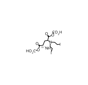 N[C@@H](CC(C(=O)OC(=O)O)N(CCI)CCI)C(=O)OC(=O)O